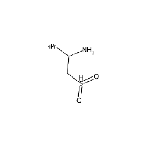 C[C](C)C(N)C[SH](=O)=O